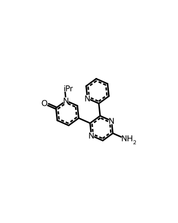 CC(C)n1cc(-c2ncc(N)nc2-c2ccccn2)ccc1=O